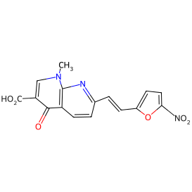 Cn1cc(C(=O)O)c(=O)c2ccc(/C=C/c3ccc([N+](=O)[O-])o3)nc21